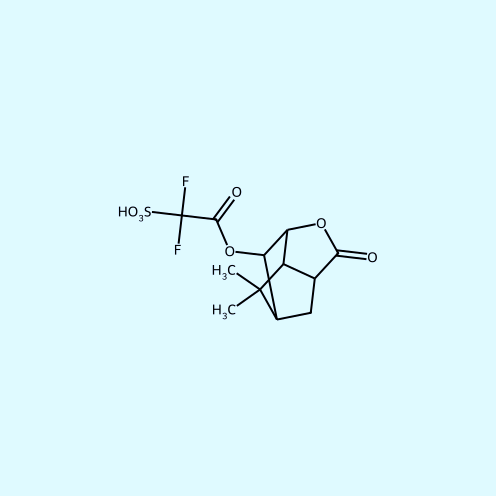 CC1(C)C2CC3C(=O)OC(C2OC(=O)C(F)(F)S(=O)(=O)O)C31